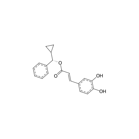 O=C(/C=C/c1ccc(O)c(O)c1)O[C@H](c1ccccc1)C1CC1